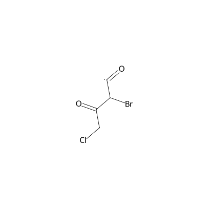 O=[C]C(Br)C(=O)CCl